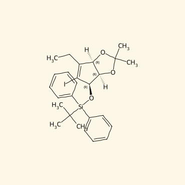 CCC1=C(I)[C@H](O[Si](c2ccccc2)(c2ccccc2)C(C)(C)C)[C@@H]2OC(C)(C)O[C@H]12